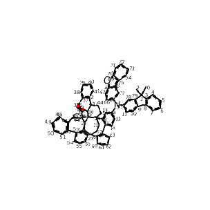 CC1(C)c2ccccc2-c2ccc(N(c3ccc4c(c3)C35CCC(CC67CC(CCC8(c9ccccc9-c9ccccc9C8CC3)C56)c3ccccc3-c3ccccc37)c3ccccc3-4)c3ccc4oc5ccccc5c4c3)cc21